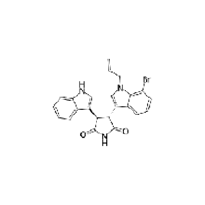 C=CCn1cc([C@@H]2C(=O)NC(=O)[C@H]2c2c[nH]c3ccccc23)c2cccc(Br)c21